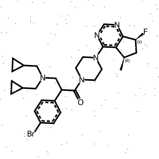 C[C@@H]1C[C@H](F)c2ncnc(N3CCN(C(=O)C(CN(CC4CC4)CC4CC4)c4ccc(Br)cc4)CC3)c21